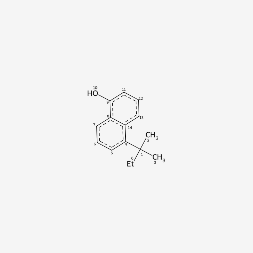 CCC(C)(C)c1cccc2c(O)cccc12